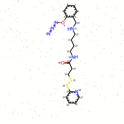 [N-]=[N+]=NOc1ccccc1CNCCCCNC(=O)CCSSc1ccccn1